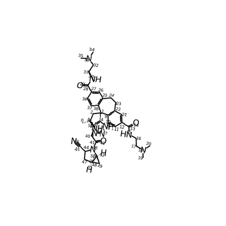 C[C@H](CC1(c2nnn[nH]2)c2ccc(C(=O)NCCN(C)C)cc2CCc2cc(C(=O)NCCN(C)C)ccc21)NCC(=O)N1C(C#N)C[C@@H]2C[C@@H]21